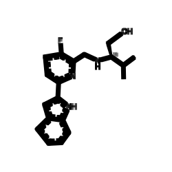 CC(C)[C@H](CO)NCc1nc(-c2cc3ccccc3[nH]2)ccc1F